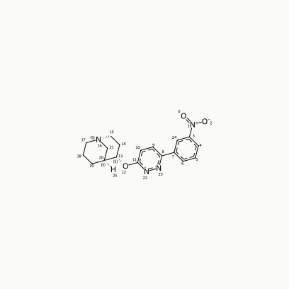 O=[N+]([O-])c1cccc(-c2ccc(O[C@H]3CC[N@@]4CCC[C@H]3C4)nn2)c1